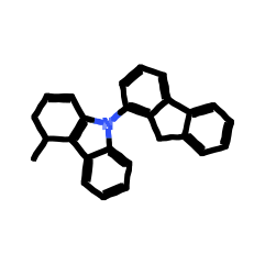 CC1CC=Cc2c1c1ccccc1n2-c1cccc2c1Cc1ccccc1-2